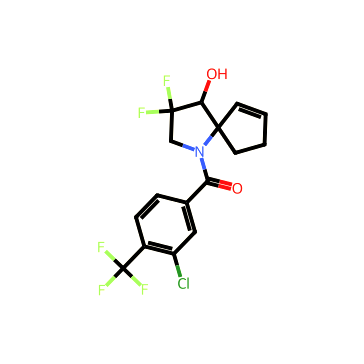 O=C(c1ccc(C(F)(F)F)c(Cl)c1)N1CC(F)(F)C(O)C12C=CCC2